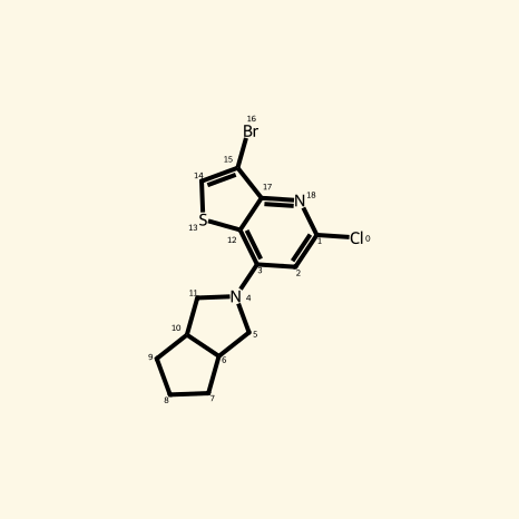 Clc1cc(N2CC3CCCC3C2)c2scc(Br)c2n1